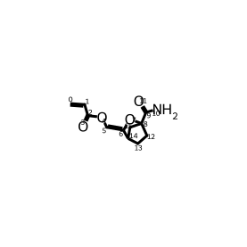 C=CC(=O)OC=C1OC2(C(N)=O)CCC1C2